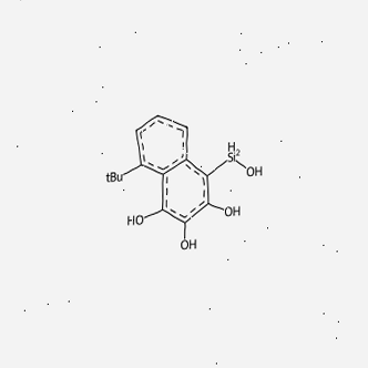 CC(C)(C)c1cccc2c([SiH2]O)c(O)c(O)c(O)c12